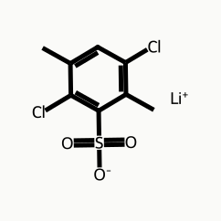 Cc1cc(Cl)c(C)c(S(=O)(=O)[O-])c1Cl.[Li+]